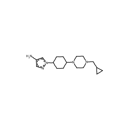 Nc1cnn(C2CCC(N3CCN(CC4CC4)CC3)CC2)c1